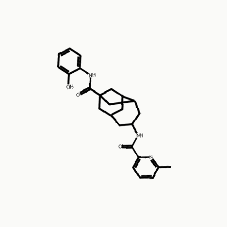 Cc1cccc(C(=O)NC2CC3CC4CC(C(=O)Nc5ccccc5O)(C3)CC4C2)n1